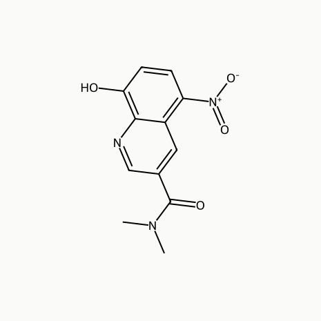 CN(C)C(=O)c1cnc2c(O)ccc([N+](=O)[O-])c2c1